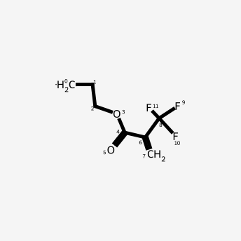 [CH2]CCOC(=O)C(=C)C(F)(F)F